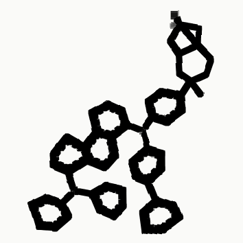 CC1(c2ccc(N(c3ccc(-c4ccccc4)cc3)c3cccc4c3ccc3c(N(c5ccccc5)c5ccccc5)cccc34)cc2)CC2C[C@@H]3CC2C3C1